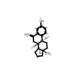 C=C1C[C@@H]2[C@H](CC[C@]3(C)CCC[C@@H]23)c2ccc(O)cc21